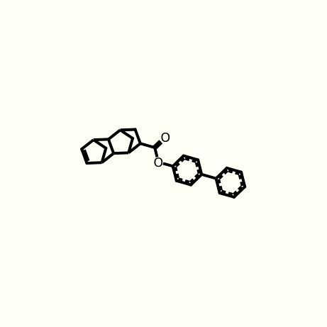 O=C(Oc1ccc(-c2ccccc2)cc1)C1CC2CC1C1C3C=CC(C3)C21